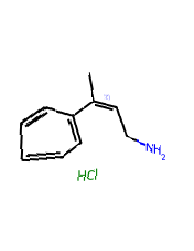 C/C(=C/CN)c1ccccc1.Cl